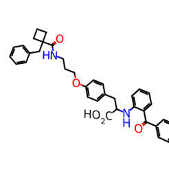 O=C(c1ccccc1)c1ccccc1NC(Cc1ccc(OCCCNC(=O)C2(Cc3ccccc3)CCC2)cc1)C(=O)O